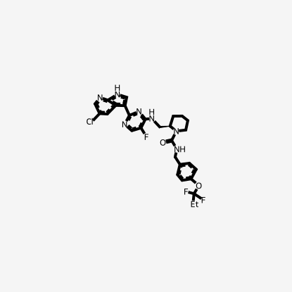 CCC(F)(F)Oc1ccc(CNC(=O)N2CCCC[C@@H]2CNc2nc(-c3c[nH]c4ncc(Cl)cc34)ncc2F)cc1